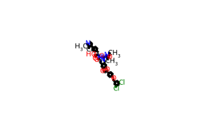 Cc1nc(C(=O)N2Cc3cc4c(cc3C[C@H]2C(=O)N[C@@H](Cc2ccc(-c3ccnc(C)c3C)cc2)C(=O)O)OC[C@H](c2ccc(OCc3cc(Cl)cc(Cl)c3)cc2)O4)c(C)o1